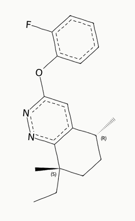 CC[C@@]1(C)CC[C@@H](C)c2cc(Oc3ccccc3F)nnc21